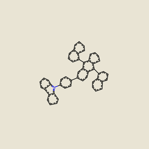 c1ccc2c(-c3c4ccccc4c(-c4cccc5ccccc45)c4cc(-c5ccc(-n6c7ccccc7c7ccccc76)cc5)ccc34)cccc2c1